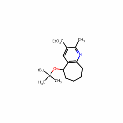 CCOC(=O)c1cc2c(nc1C)CCCCC2O[Si](C)(C)C(C)(C)C